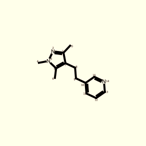 Cc1nn(C)c(C)c1[CH]Cc1cccnc1